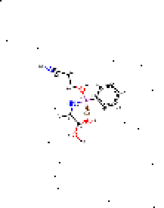 COC(=O)C(C)NP(=S)(OCCC#N)c1ccccc1